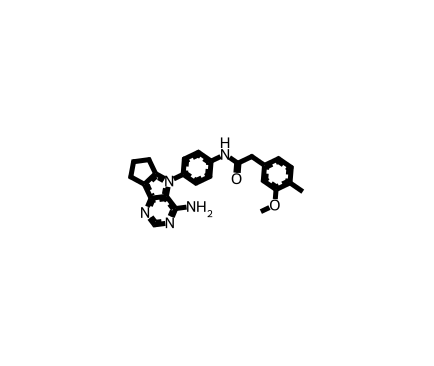 COc1cc(CC(=O)Nc2ccc(-n3c4c(c5ncnc(N)c53)CCC4)cc2)ccc1C